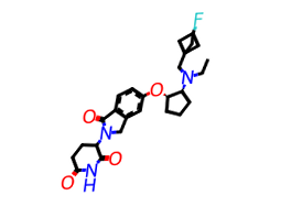 CCN(CC12CC(F)(C1)C2)[C@H]1CCC[C@@H]1Oc1ccc2c(c1)CN(C1CCC(=O)NC1=O)C2=O